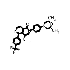 Cc1cn(-c2ccc(N3C[C@@H](C)O[C@@H](C)C3)cc2)c(=O)c2ccnc(-c3ccc(C(F)(F)F)cc3)c12